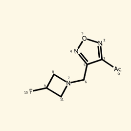 CC(=O)c1nonc1CN1CC(F)C1